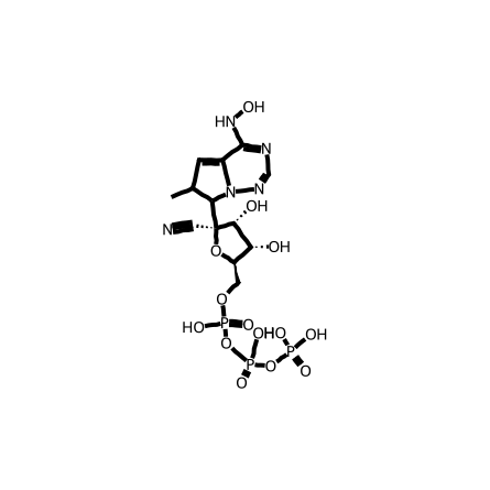 CC1C=C2C(NO)=NC=NN2C1[C@]1(C#N)O[C@H](COP(=O)(O)OP(=O)(O)OP(=O)(O)O)[C@@H](O)[C@H]1O